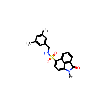 CCN1C(=O)c2cccc3c(S(=O)(=O)NCc4cc(C(F)(F)F)cc(C(F)(F)F)c4)ccc1c23